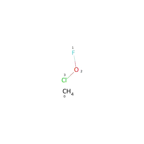 C.FOCl